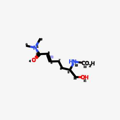 CN(C)C(=O)/C=C/CCC(CO)NC(=O)O